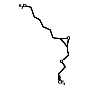 C=CCOCC1OC1CCCCCCC